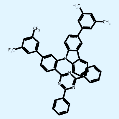 Cc1cc(C)cc(-c2ccc3c(c2)c2ccccc2n3-c2cc(-c3cc(C(F)(F)F)cc(C(F)(F)F)c3)ccc2-c2nc(-c3ccccc3)nc(-c3ccccc3)n2)c1